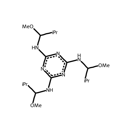 COC(Nc1nc(NC(OC)C(C)C)nc(NC(OC)C(C)C)n1)C(C)C